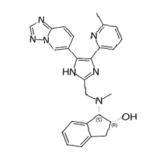 Cc1cccc(-c2nc(CN(C)[C@H]3c4ccccc4C[C@H]3O)[nH]c2-c2ccc3ncnn3c2)n1